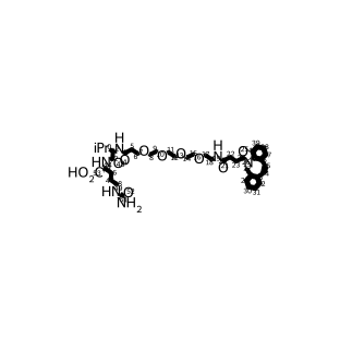 CC(C)C(NC(=O)CCOCCOCCOCCOCCNC(=O)CCC(=O)N1Cc2ccccc2C#Cc2ccccc21)C(=O)N[C@@H](CCCNC(N)=O)C(=O)O